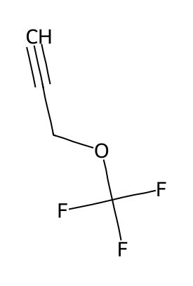 C#CCOC(F)(F)F